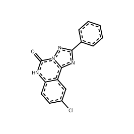 O=c1[nH]c2ccc(Cl)cc2c2nc(-c3ccccc3)nn12